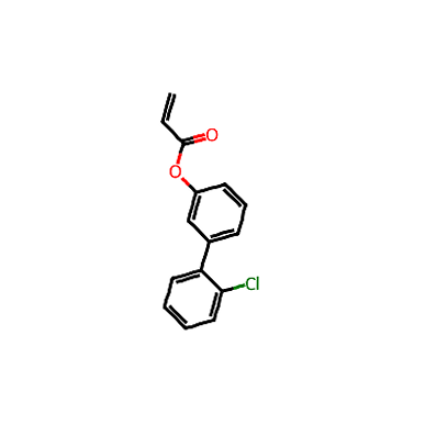 C=CC(=O)Oc1cccc(-c2ccccc2Cl)c1